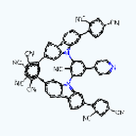 N#Cc1ccc(-c2ccc3c4ccc(-c5ccc(C#N)cc5C#N)cc4n(-c4cc(-c5ccncc5)cc(-n5c6cc(-c7ccc(C#N)cc7C#N)ccc6c6ccc(-c7ccc(C#N)cc7C#N)cc65)c4C#N)c3c2)c(C#N)c1